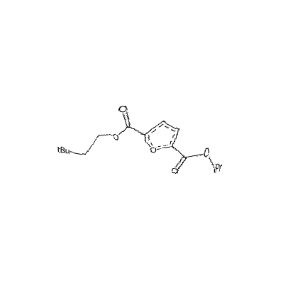 CC(C)OC(=O)c1ccc(C(=O)OCCC(C)(C)C)o1